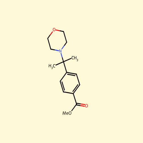 COC(=O)c1ccc(C(C)(C)N2CCOCC2)cc1